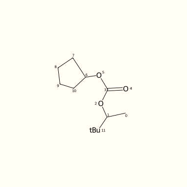 CC(OC(=O)OC1CCCC1)C(C)(C)C